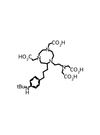 CC(C)(C)Nc1ccc(CCCC2CN(CC(=O)O)CCN(CC(=O)O)CCN2CCN(CC(=O)O)CC(=O)O)cc1